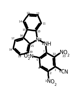 N#Cc1c([N+](=O)[O-])cc([N+](=O)[O-])c(Nn2c3ccccc3c3ccccc32)c1[N+](=O)[O-]